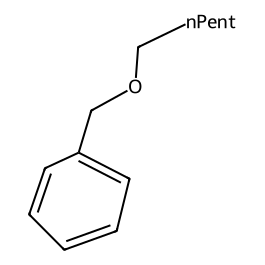 C[CH]CCCCOCc1ccccc1